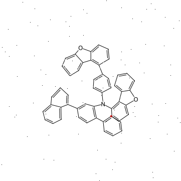 c1ccc(-c2ccc(-c3cccc4ccccc34)cc2N(c2ccc(-c3cccc4oc5ccccc5c34)cc2)c2cccc3oc4ccccc4c23)cc1